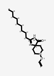 C=CON1CCC2(CC1)N=C(CCCCCCCCC)NC2=O